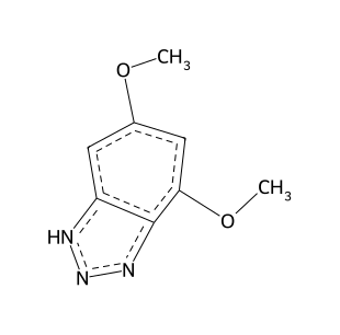 COc1cc(OC)c2nn[nH]c2c1